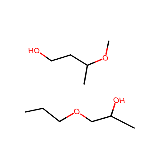 CCCOCC(C)O.COC(C)CCO